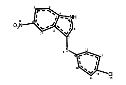 O=[N+]([O-])c1ccc2[nH]cc(Sc3ccc(Cl)cc3)c2c1